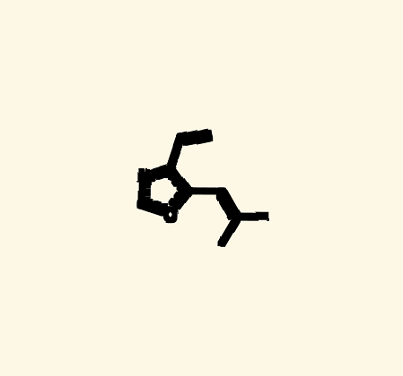 C=Cc1ncoc1C=C(C)C